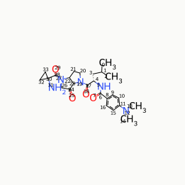 CC(C)C[C@H](NC(=O)c1ccc(N(C)C)cc1)C(=O)N1CCC2C1C(=O)CN2C(=O)C1(N)CC1